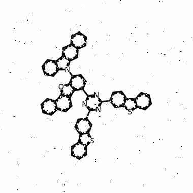 c1ccc2cc3c(cc2c1)c1ccccc1n3-c1ccc(-c2nc(-c3ccc4c(c3)sc3ccccc34)nc(-c3ccc4c(c3)sc3ccccc34)n2)c2c1oc1c3ccccc3ccc12